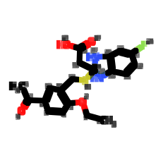 CCOc1ccc(C(C)=O)cc1CSC1(CC(=O)O)Nc2ccc(F)cc2N1